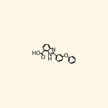 O=C(O)c1cccc2nc(-c3cccc(Oc4ccccc4)c3)[nH]c12